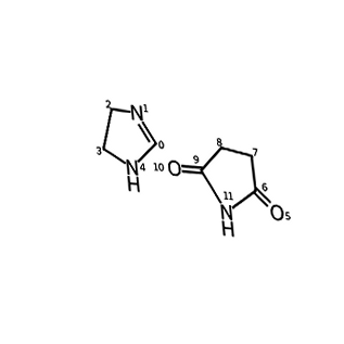 C1=NCCN1.O=C1CCC(=O)N1